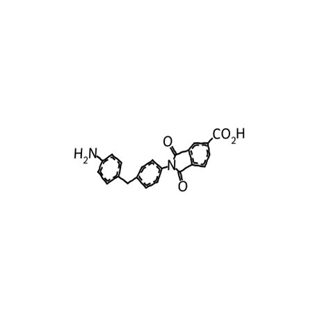 Nc1ccc(Cc2ccc(N3C(=O)c4ccc(C(=O)O)cc4C3=O)cc2)cc1